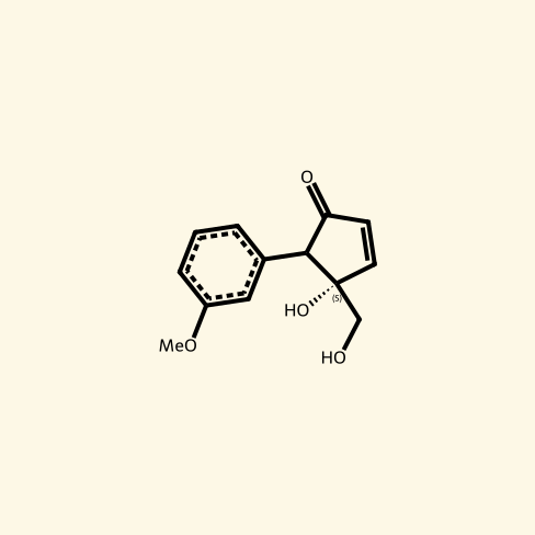 COc1cccc(C2C(=O)C=C[C@@]2(O)CO)c1